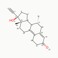 C#C[C@]1(O)CCC2C3C(=C4CCC(=O)C=C4C[C@H]3C)CC[C@@]21C